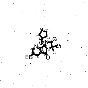 CCc1cnc2c(c1)C(=O)N1C2(OC2CCCC2)NC(=O)C1(C)C(C)C